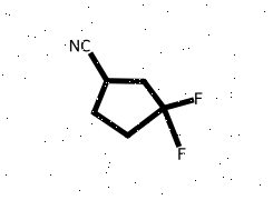 N#CC1CCC(F)(F)C1